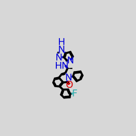 C[C@H](Nc1nccc2[nH]cnc12)c1cc2cccc(-c3cccc(F)c3)c2c(=O)n1-c1ccccc1